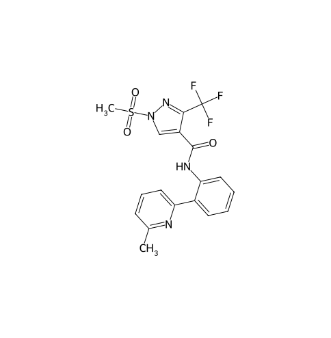 Cc1cccc(-c2ccccc2NC(=O)c2cn(S(C)(=O)=O)nc2C(F)(F)F)n1